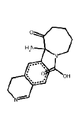 NC1(c2ccc3c(c2)CCN=C3)C(=O)CCCCN1C(=O)O